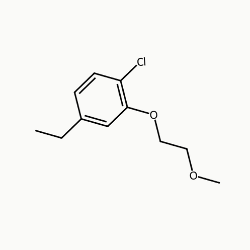 CCc1ccc(Cl)c(OCCOC)c1